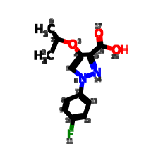 CC(C)Oc1cn(-c2ccc(F)cc2)nc1C(=O)O